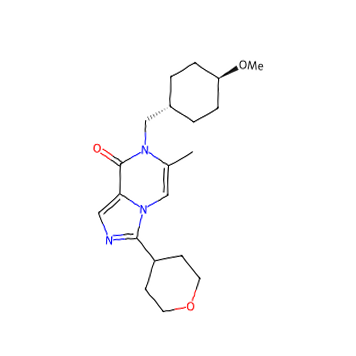 CO[C@H]1CC[C@H](Cn2c(C)cn3c(C4CCOCC4)ncc3c2=O)CC1